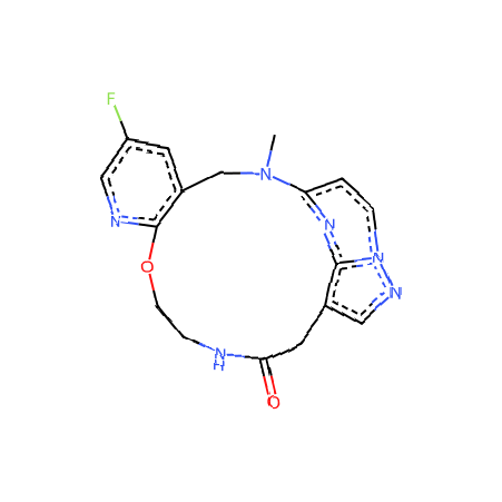 CN1Cc2cc(F)cnc2OCCNC(=O)Cc2cnn3ccc1nc23